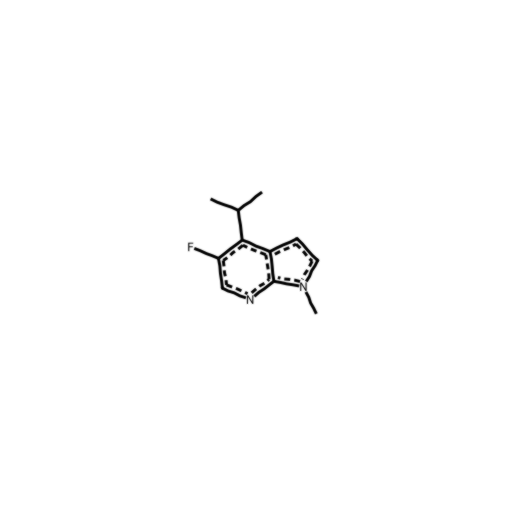 CC(C)c1c(F)cnc2c1ccn2C